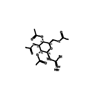 Br.CC(=O)OC[C@H]1O[C@@H](NC(=N)S)[C@H](OC(C)=O)[C@@H](OC(C)=O)[C@@H]1OC(C)=O